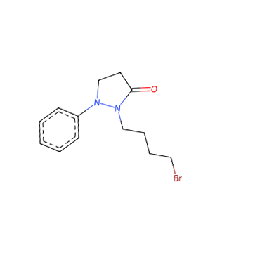 O=C1CCN(c2ccccc2)N1CCCCBr